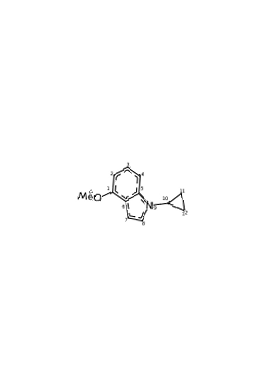 COc1c[c]cc2c1ccn2C1CC1